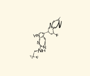 Cc1cn2cc(-c3c[nH]c4nc(NCC5(F)CC5)ncc34)cc(F)c2n1